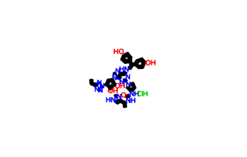 CCc1nnn([C@H]2C[C@@H](n3cnc4c(NCC(c5ccc(O)cc5)c5ccc(O)cc5)nc(N5CCC(NC(=O)NC(C)c6c[nH]cn6)C5)nc43)[C@H](O)[C@@H]2O)n1.Cl